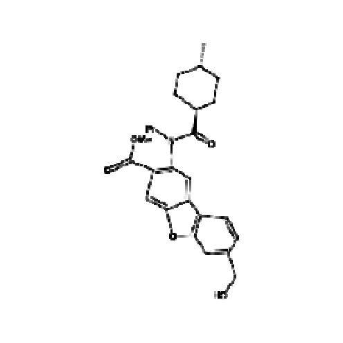 COC(=O)c1cc2oc3cc(CO)ccc3c2cc1N(C(=O)[C@H]1CC[C@H](C)CC1)C(C)C